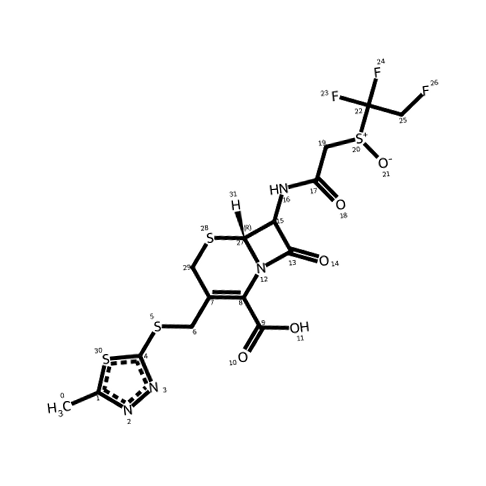 Cc1nnc(SCC2=C(C(=O)O)N3C(=O)C(NC(=O)C[S+]([O-])C(F)(F)CF)[C@H]3SC2)s1